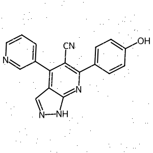 N#Cc1c(-c2ccc(O)cc2)nc2[nH]ncc2c1-c1cccnc1